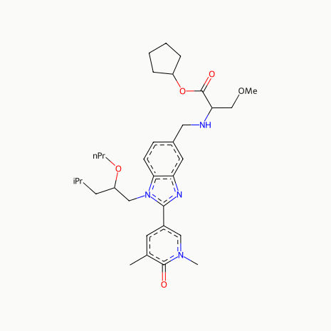 CCCOC(CC(C)C)Cn1c(-c2cc(C)c(=O)n(C)c2)nc2cc(CNC(COC)C(=O)OC3CCCC3)ccc21